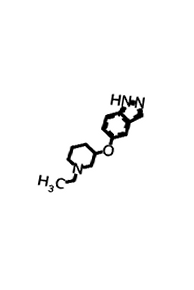 CCN1CCCC(Oc2ccc3[nH]ncc3c2)C1